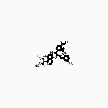 Cc1cc(C(Nc2cc(F)c3c(N(C(=O)OC(C)(C)C)C(=O)OC(C)(C)C)nccc3c2)C(=O)CCc2cc(N)cc(F)c2S(=O)(=O)C2CC2)ccc1[C@@H](C)CO